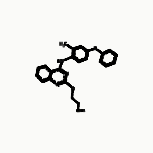 COCCOc1nc(Nc2ccc(Oc3ccccc3)cc2C)c2ccccc2n1